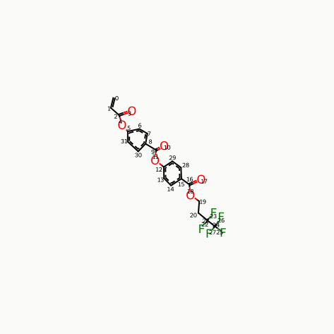 C=CC(=O)Oc1ccc(C(=O)Oc2ccc(C(=O)OCCC(F)(F)C(F)(F)F)cc2)cc1